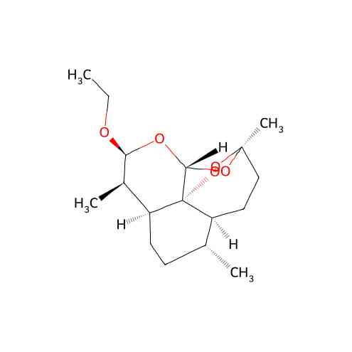 CCO[C@H]1O[C@@H]2O[C@]3(C)CC[C@H]4[C@H](C)CC[C@@H]([C@H]1C)[C@@]24OO3